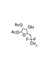 CC(=O)OC1O[C@H](CC(C)(F)F)[C@@H](O)[C@H]1OC(C)=O